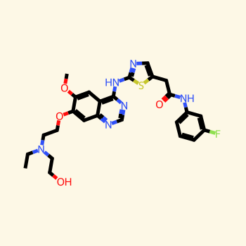 CCN(CCO)CCOc1cc2ncnc(Nc3ncc(CC(=O)Nc4cccc(F)c4)s3)c2cc1OC